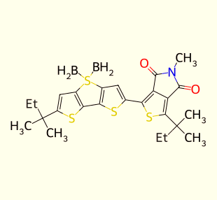 BS1(B)c2cc(-c3sc(C(C)(C)CC)c4c3C(=O)N(C)C4=O)sc2-c2sc(C(C)(C)CC)cc21